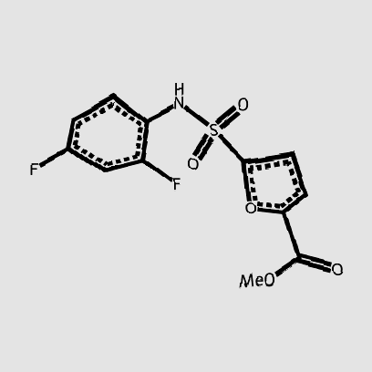 COC(=O)c1ccc(S(=O)(=O)Nc2ccc(F)cc2F)o1